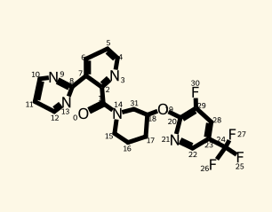 O=C(c1ncccc1-c1ncccn1)N1CCCC(Oc2ncc(C(F)(F)F)cc2F)C1